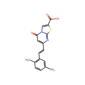 Cc1ccc(C)c(/C=C/c2cc(=O)n3cc(C(=O)O)sc3n2)c1